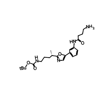 C[C@@H](CCCNC(=O)OC(C)(C)C)c1ncc(-c2cccc(NC(=O)CCCN)c2)o1